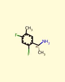 Cc1cc([C@@H](C)N)c(F)cc1F